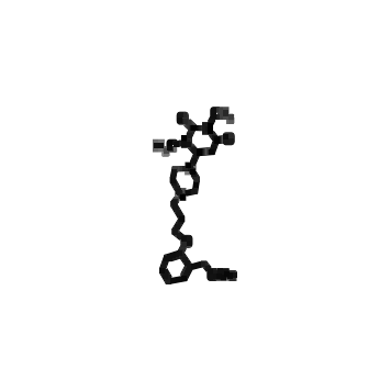 COCc1ccccc1OCCCN1CCN(c2cc(=O)n(C)c(=O)n2C)CC1